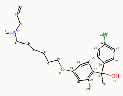 C=CCN(C)CCCCCCOc1ccc(C(C)(O)c2ccc(Br)cc2)c(F)c1